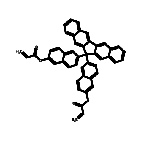 C=CC(=O)Oc1ccc2cc(C3(c4ccc5cc(OC(=O)C=C)ccc5c4)c4cc5ccccc5cc4-c4cc5ccccc5cc43)ccc2c1